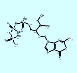 Nc1nc2c(ncn2COC(COP(=O)(O)OP(=O)(O)OP(=O)(O)O)C(O)CO)c(=O)o1